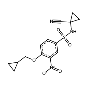 N#CC1(NS(=O)(=O)c2ccc(OCC3CC3)c([N+](=O)[O-])c2)CC1